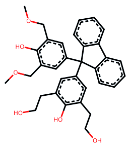 COCc1cc(C2(c3cc(CCO)c(O)c(CCO)c3)c3ccccc3-c3ccccc32)cc(COC)c1O